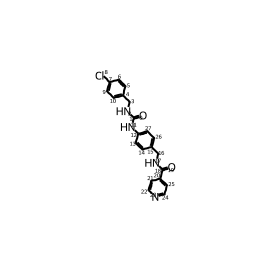 O=C(NCc1ccc(Cl)cc1)Nc1ccc(CNC(=O)c2ccncc2)cc1